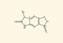 CCC1C(=O)Nc2cc3c(cc21)CCC3=O